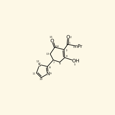 CCCC(=O)C1=C(O)CC(c2nccs2)CC1=O